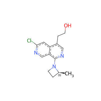 C[C@H]1CCN1c1ncc(CCO)c2cc(Cl)ncc12